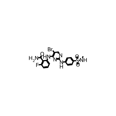 CNS(=O)(=O)c1ccc(Nc2ncc(Br)c(Nc3cccc(F)c3C(N)=O)n2)cc1